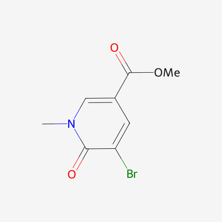 COC(=O)c1cc(Br)c(=O)n(C)c1